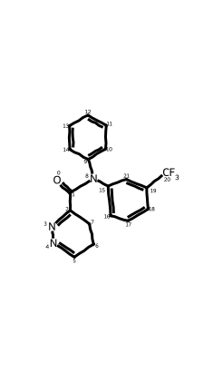 O=C(C1=NN=CCC1)N(c1ccccc1)c1cccc(C(F)(F)F)c1